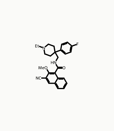 CCN1CCC(CNC(=O)c2c(OC)c(C#N)cc3ccccc23)(c2ccc(F)cc2)CC1